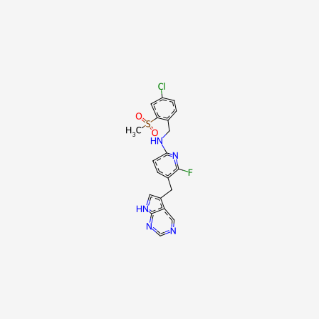 CS(=O)(=O)c1cc(Cl)ccc1CNc1ccc(Cc2c[nH]c3ncncc23)c(F)n1